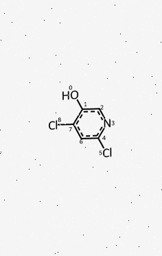 Oc1cnc(Cl)cc1Cl